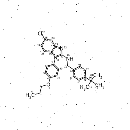 CCCOc1ccc(-n2c(NCc3ccc(C(C)(C)C)cc3)nc3cc(Cl)ccc32)cc1